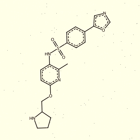 Cc1nc(OCC2CCCN2)ccc1NS(=O)(=O)c1ccc(-c2cnco2)cc1